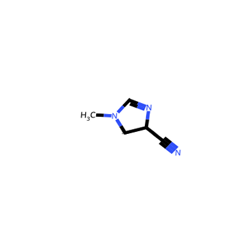 CN1[C]C(C#N)N=[C]1